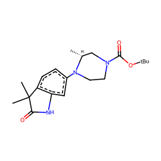 C[C@@H]1CN(C(=O)OC(C)(C)C)CCN1c1ccc2c(c1)NC(=O)C2(C)C